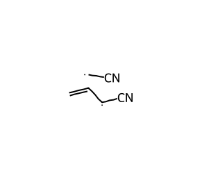 C=C[CH]C#N.[CH2]C#N